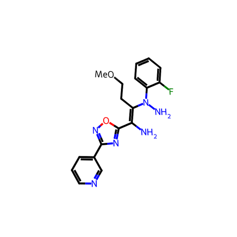 COCC/C(=C(/N)c1nc(-c2cccnc2)no1)N(N)c1ccccc1F